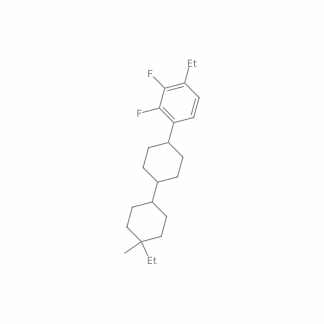 CCc1ccc(C2CCC(C3CCC(C)(CC)CC3)CC2)c(F)c1F